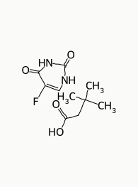 CC(C)(C)CC(=O)O.O=c1[nH]cc(F)c(=O)[nH]1